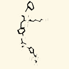 CCCCCC(=O)NC(Cc1ccc(OCC2CN(c3ccc(-c4noc(=O)[nH]4)cc3)C(=O)O2)cc1)C(=O)OCc1ccccc1